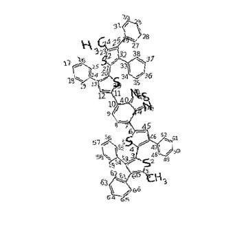 Cc1sc(-c2sc(-c3ccc(-c4cc(-c5ccccc5)c(-c5sc(C)c(-c6ccccc6)c5-c5ccccc5)s4)c4nsnc34)cc2-c2ccccc2)c(-c2ccccc2)c1-c1ccccc1